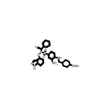 COC1CCC(CNc2ccc(S(=O)(=O)N(Oc3cccc4[nH]ncc34)C(=O)c3ccccc3)cc2[N+](=O)[O-])CC1